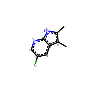 Cc1[nH]c2ncc(Br)cc2c1C